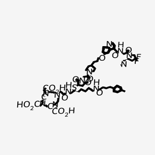 C/N=C/[C@H]1CC(F)(F)CN1C(=O)CNC(=O)c1ccnc2ccc(OCCCC3CCN(C(=O)CN4C(=O)CC(S[C@H](CCCCCNC(=O)CCCc5ccc(C)cc5)CNC(=O)CN5CCN(CC(=O)O)CCN(CC(=O)O)CCN(CC(=O)O)CC5)C4=O)CC3)cc12